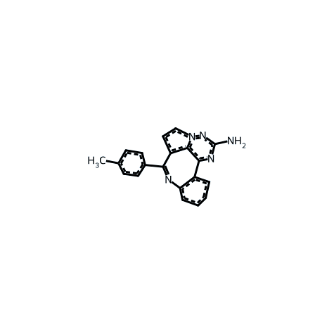 Cc1ccc(C2=Nc3ccccc3-c3nc(N)nn4ccc2c34)cc1